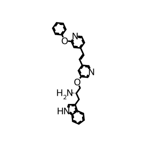 N[C@H](COc1cncc(C=Cc2ccnc(Oc3ccccc3)c2)c1)Cc1c[nH]c2ccccc12